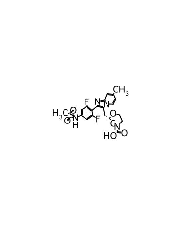 Cc1ccn2c(C[C@H]3CN(C(=O)O)CCO3)c(-c3c(F)cc(NS(C)(=O)=O)cc3F)nc2c1